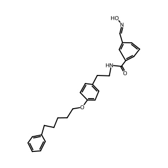 O=C(NCCc1ccc(OCCCCCc2ccccc2)cc1)c1cccc(C=NO)c1